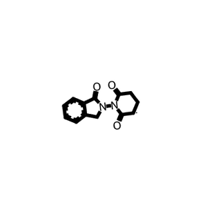 O=C1c2ccccc2CN1N1C(=O)[CH]CCC1=O